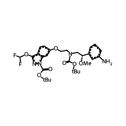 CO[C@@H](CN(CCOc1ccc2c(OC(F)F)nn(C(=O)OC(C)(C)C)c2c1)C(=O)OC(C)(C)C)c1cccc(N)c1